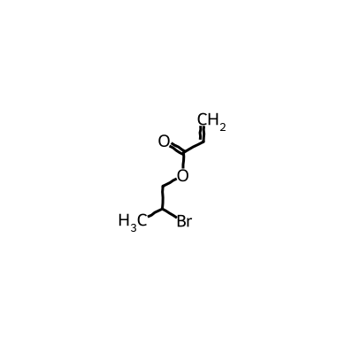 C=CC(=O)OCC(C)Br